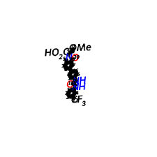 COC[C@@H](C(=O)O)N1Cc2ccc(-c3ccc(NC(=O)Nc4cccc(C(F)(F)F)c4)cc3)cc2C1=O